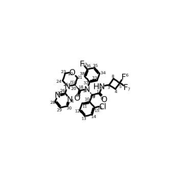 O=C(NC1CC(F)(F)C1)[C@H](c1ccccc1Cl)N(C(=O)[C@@H]1COCCN1c1ncccn1)c1cccc(F)c1